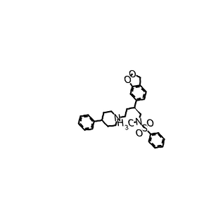 CN(C[C@@H](CCN1CCC(c2ccccc2)CC1)c1ccc2c(c1)OOC2)S(=O)(=O)c1ccccc1